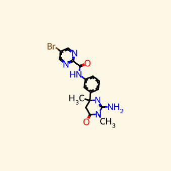 CN1C(=O)CC(C)(c2cccc(NC(=O)c3ncc(Br)cn3)c2)N=C1N